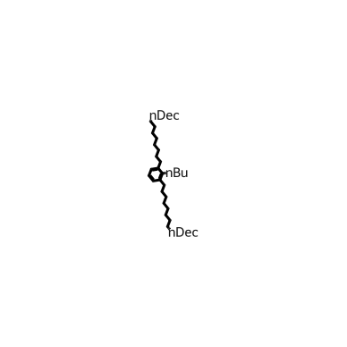 [CH2]CCCc1c(CCCCCCCCCCCCCCCCCC)cccc1CCCCCCCCCCCCCCCCCC